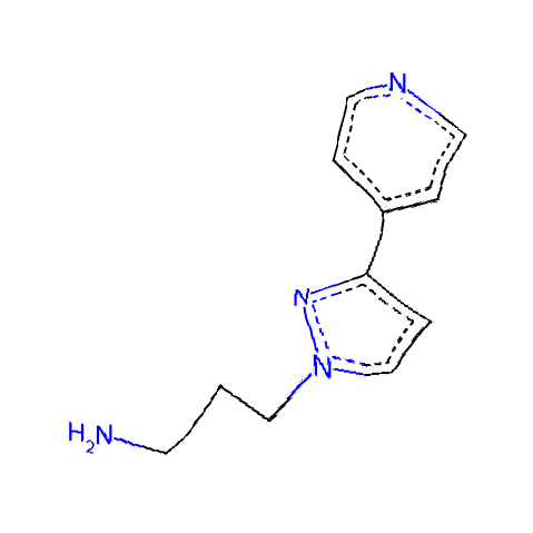 NCCCn1ccc(-c2ccncc2)n1